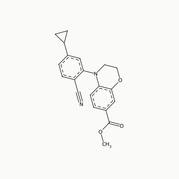 COC(=O)c1ccc2c(c1)OCCN2c1cc(C2CC2)ccc1C#N